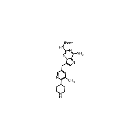 CCCC(C)Nc1nc(N)c2ncc(Cc3cnc(C4CCNCC4)c(C)c3)n2n1